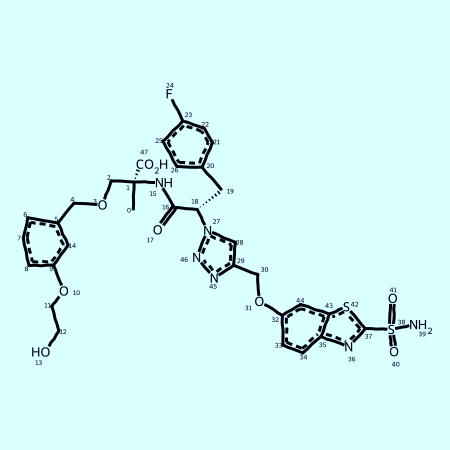 C[C@@](COCc1cccc(OCCO)c1)(NC(=O)[C@H](Cc1ccc(F)cc1)n1cc(COc2ccc3nc(S(N)(=O)=O)sc3c2)nn1)C(=O)O